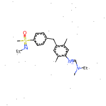 CCN=S(C)(=O)c1ccc(Cc2cc(C)c(/N=C/N(C)CC)cc2C)cc1